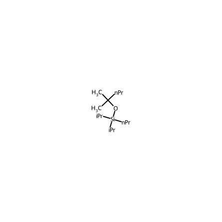 CCCC(C)(C)O[Si](CCC)(C(C)C)C(C)C